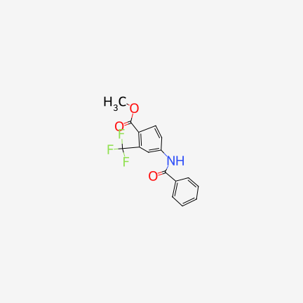 COC(=O)c1ccc(NC(=O)c2ccccc2)cc1C(F)(F)F